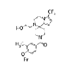 Cc1cc(C(=O)N2CCC3(CC2)c2ccc(C(F)(F)F)n2CCN3CCO)ccc1OC(C)C